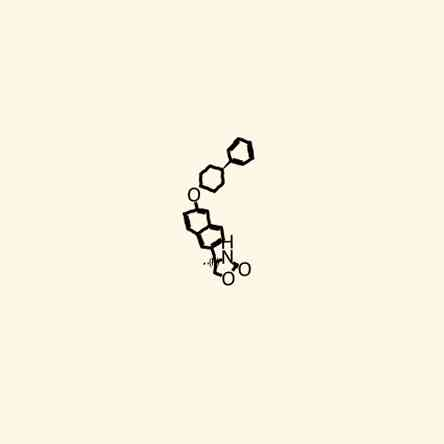 C[C@@]1(c2ccc3cc(O[C@H]4CC[C@H](c5ccccc5)CC4)ccc3c2)COC(=O)N1